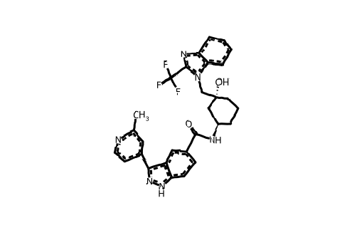 Cc1cc(-c2n[nH]c3ccc(C(=O)N[C@@H]4CCC[C@](O)(Cn5c(C(F)(F)F)nc6ccccc65)C4)cc23)ccn1